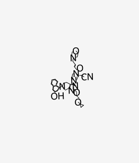 N#CC[C@H]1CN(c2nc(OCCOC3CC3)nc3c2CCN(c2cc(O)cc4ccccc24)C3)CCN1C(=O)/C=C/CN1CCOCC1